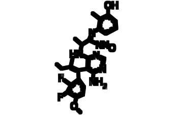 CC/C(C)=C(\c1ccc(OC)c(F)c1F)c1c(N)ncnc1NC(C)/C(=N/c1cccc(O)c1C)NC=O